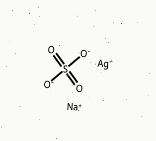 O=S(=O)([O-])[O-].[Ag+].[Na+]